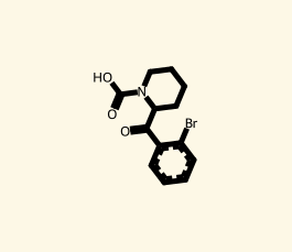 O=C(c1ccccc1Br)C1CCCCN1C(=O)O